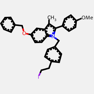 COc1ccc(-c2c(C)c3cc(OCc4ccccc4)ccc3n2Cc2ccc(CCI)cc2)cc1